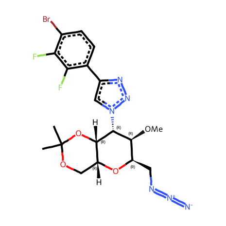 CO[C@@H]1[C@@H](n2cc(-c3ccc(Br)c(F)c3F)nn2)[C@H]2OC(C)(C)OC[C@H]2O[C@@H]1CN=[N+]=[N-]